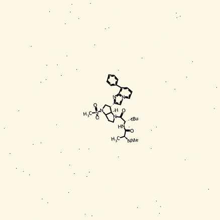 CN[C@@H](C)C(=O)N[C@H](C(=O)N1CCC2[C@H]1[C@@H](c1cn3cccc(-c4ccccc4)c3n1)CN2S(C)(=O)=O)C(C)(C)C